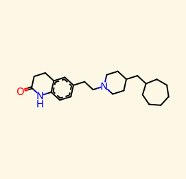 O=C1CCc2cc(CCN3CCC(CC4CCCCCC4)CC3)ccc2N1